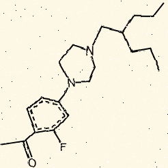 CCCC(CCC)CN1CCN(c2ccc(C(C)=O)c(F)c2)CC1